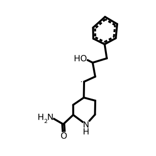 NC(=O)C1CC([CH]CC(O)Cc2ccccc2)CCN1